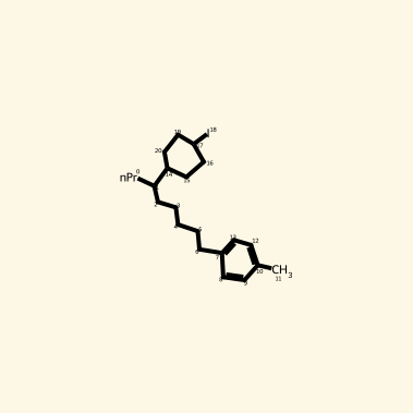 CCCC(CCCCCc1ccc(C)cc1)C1CCC(I)CC1